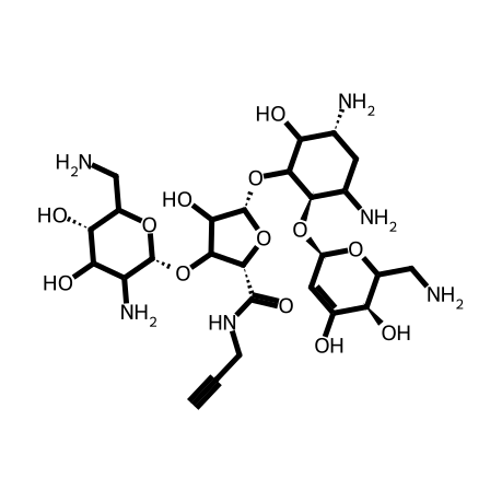 C#CCNC(=O)[C@H]1O[C@@H](OC2C(O)[C@H](N)CC(N)[C@H]2O[C@@H]2C=C(O)[C@H](O)C(CN)O2)C(O)C1O[C@H]1OC(CN)[C@@H](O)C(O)C1N